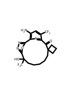 Nc1cc(C(F)(F)F)c2nc1-c1nnc(o1)C(O)(C(F)(F)F)CCCCCC1(CCC1)C2=O